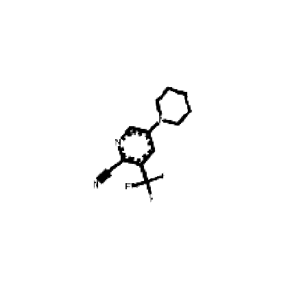 N#Cc1ncc(N2CCCCC2)cc1C(F)(F)F